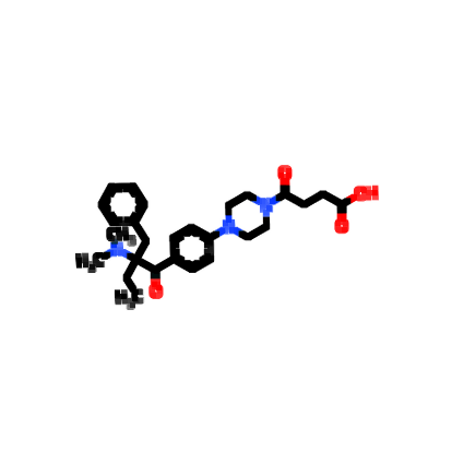 CCC(Cc1ccccc1)(C(=O)c1ccc(N2CCN(C(=O)CCC(=O)O)CC2)cc1)N(C)C